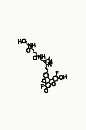 COc1ccc(/C=C/C2=NN=C(C)C3(C)C(CNC(=O)CCCC(=O)NCCO)C23)cc1-c1c2cc(F)c(=O)cc-2oc2cc(O)c(F)cc12